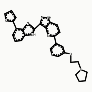 c1csc(-c2cccc3[nH]c(-c4n[nH]c5ccc(-c6cncc(OCCN7CCCC7)c6)nc45)nc23)c1